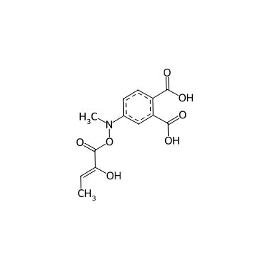 CC=C(O)C(=O)ON(C)c1ccc(C(=O)O)c(C(=O)O)c1